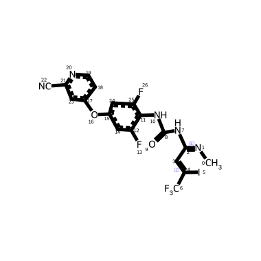 C/N=C(\C=C(/I)C(F)(F)F)NC(=O)Nc1c(F)cc(Oc2ccnc(C#N)c2)cc1F